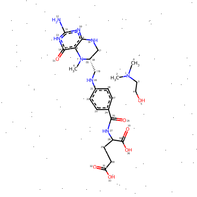 CN(C)CCO.CN1c2c(nc(N)[nH]c2=O)NC[C@@H]1CNc1ccc(C(=O)NC(CCC(=O)O)C(=O)O)cc1